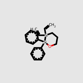 C=C[Si]1(C=C)CCCO[Si]1(c1ccccc1)c1ccccc1